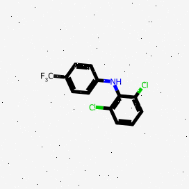 FC(F)(F)c1ccc(Nc2c(Cl)cccc2Cl)cc1